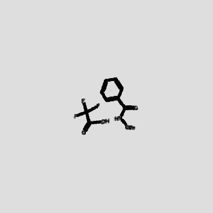 CONC(=O)c1ccccc1.O=C(O)C(F)(F)F